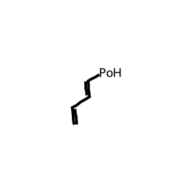 C=CC=[CH][PoH]